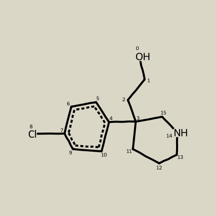 OCCC1(c2ccc(Cl)cc2)CCCNC1